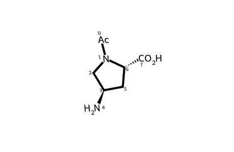 CC(=O)N1C[C@H](N)C[C@H]1C(=O)O